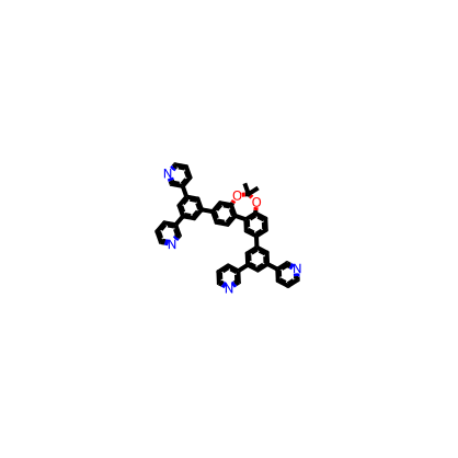 CC1(C)Oc2cc(-c3cc(-c4cccnc4)cc(-c4cccnc4)c3)ccc2-c2cc(-c3cc(-c4cccnc4)cc(-c4cccnc4)c3)ccc2O1